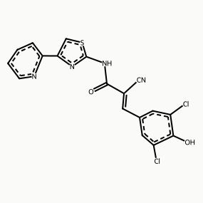 N#C/C(=C\c1cc(Cl)c(O)c(Cl)c1)C(=O)Nc1nc(-c2ccccn2)cs1